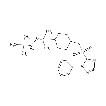 CC(C)(C)[SiH2]OC(C)(C)C1CCC(CS(=O)(=O)c2nnnn2-c2ccccc2)CC1